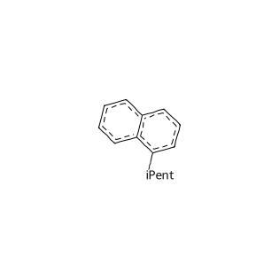 CCCC(C)c1cccc2ccccc12